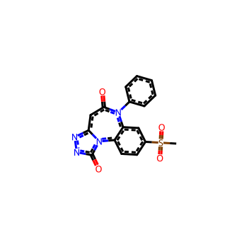 CS(=O)(=O)c1ccc2c(c1)n(-c1ccccc1)c(=O)cc1nnc(=O)n2-1